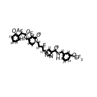 CC(=O)OC(C(=O)Nc1ccn(CCC(F)Cn2cc(C(=O)NCc3cccc(OC(F)(F)F)c3)nn2)c(=O)c1F)c1ccccc1